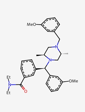 CCN(CC)C(=O)c1cccc([C@H](c2cccc(OC)c2)N2C[C@@H](C)N(Cc3cccc(OC)c3)C[C@@H]2C)c1